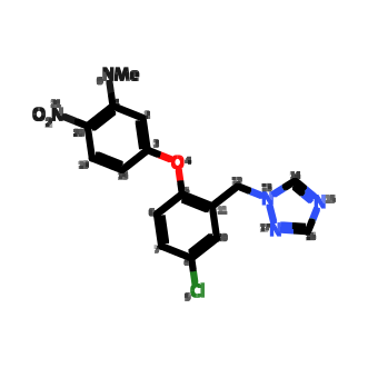 CNc1cc(Oc2ccc(Cl)cc2Cn2cncn2)ccc1[N+](=O)[O-]